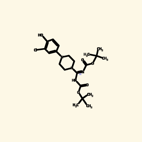 CC(C)(C)OC(=O)/N=C(/NC(=O)OC(C)(C)C)N1CCN(c2ccc(O)c(Cl)c2)CC1